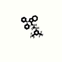 C[C@@H](NC(=S)Nc1cc(C(F)(F)F)cc(C(F)(F)F)c1)C1C2=C(CCCCC2)C[C@@H]1P(c1ccccc1)c1ccccc1